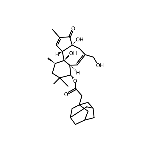 CC1=C[C@H]2[C@@]3(O)[C@H](C)CC(C)(C)[C@H](OC(=O)CC45CC6CC(CC(C6)C4)C5)[C@@H]3C=C(CO)C[C@]2(O)C1=O